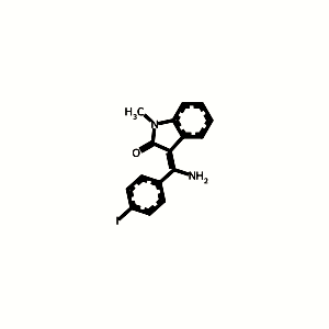 CN1C(=O)C(=C(N)c2ccc(I)cc2)c2ccccc21